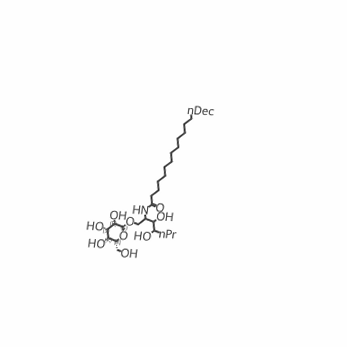 CCCCCCCCCCCCCCCCCCCCCCC(=O)NC(CO[C@H]1O[C@H](CO)[C@H](O)[C@H](O)[C@H]1O)C(O)C(O)CCC